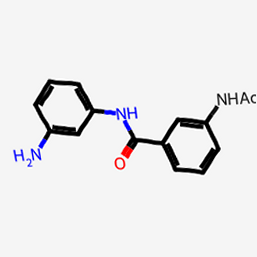 CC(=O)Nc1cccc(C(=O)Nc2cccc(N)c2)c1